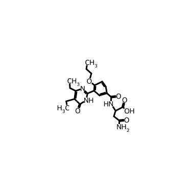 CCCOc1ccc(C(=O)NC(CC(N)=O)C(=O)O)cc1-c1nc(CC)c(CC)c(=O)[nH]1